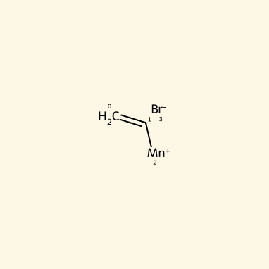 C=[CH][Mn+].[Br-]